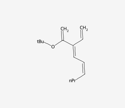 C=C/C(=C\C=C/CCC)C(=C)OC(C)(C)C